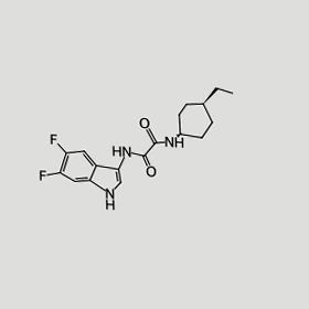 CC[C@H]1CC[C@@H](NC(=O)C(=O)Nc2c[nH]c3cc(F)c(F)cc23)CC1